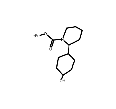 CC(C)(C)OC(=O)N1CCCC[C@H]1C1CCC(O)CC1